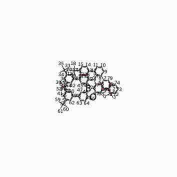 CC(C)(C)c1ccc(-c2cccc(-c3ccc(C(C)(C)C)cc3)c2C2c3ccc(-c4cc(C(C)(C)C)cc(C(C)(C)C)c4)cc3B3c4cc(-c5cc(C(C)(C)C)cc(C(C)(C)C)c5)ccc4Oc4cc(-c5ccccc5)cc2c43)cc1